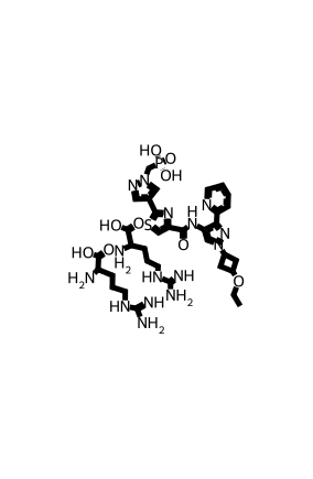 CCOC1CC(n2cc(NC(=O)c3csc(-c4cnn(CP(=O)(O)O)c4)n3)c(-c3ccccn3)n2)C1.N=C(N)NCCCC(N)C(=O)O.N=C(N)NCCCC(N)C(=O)O